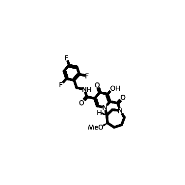 CO[C@@H]1CCCN2C[C@H]1n1cc(C(=O)NCc3c(F)cc(F)cc3F)c(=O)c(O)c1C2=O